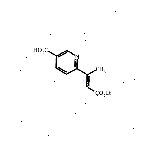 CCOC(=O)/C=C(\C)c1ccc(C(=O)O)cn1